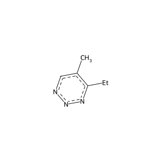 CCc1nnncc1C